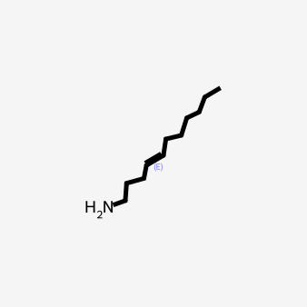 CCCCCC/C=C/CCCN